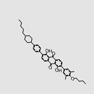 CCCCCC1CCC(c2ccc(-c3ccc4c(c3O)C(=O)c3ccc(-c5cc(C)c(OCCCC)c(C)c5)c(O)c3C4=O)cc2)CC1